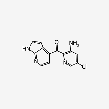 Nc1cc(Cl)cnc1C(=O)c1ccnc2[nH]ccc12